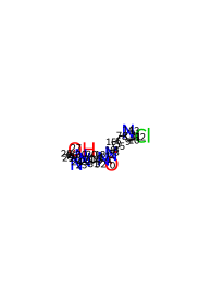 O=C(N1CC2(CC(Cc3ccc(Cl)cn3)C2)C1)N1CC2(CC(n3cnc(C4(O)CC4)n3)C2)C1